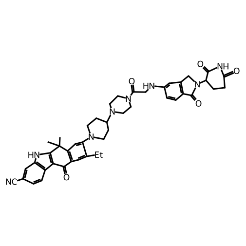 CCc1cc2c(cc1N1CCC(N3CCN(C(=O)CNc4ccc5c(c4)CN(C4CCC(=O)NC4=O)C5=O)CC3)CC1)C(C)(C)c1[nH]c3cc(C#N)ccc3c1C2=O